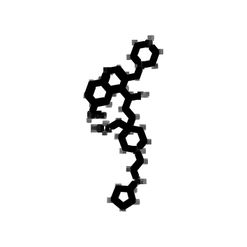 COc1ccc2ncc(CN3CCOCC3)c(C(F)CCC3(CC(=O)O)CCN(CCSC4CCCC4)CC3)c2c1